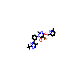 Cc1cccc(COc2nc(C)n(-c3cccc(-c4nc(C(C)(C)C)ncc4C)c3)c(=O)c2Br)n1